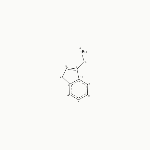 CC(C)(C)CC1=CCc2ccccc21